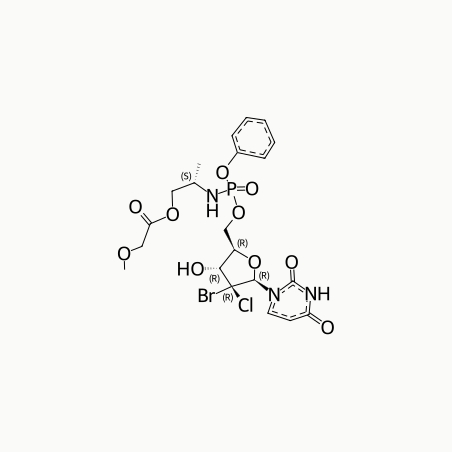 COCC(=O)OC[C@H](C)NP(=O)(OC[C@H]1O[C@@H](n2ccc(=O)[nH]c2=O)[C@](Cl)(Br)[C@@H]1O)Oc1ccccc1